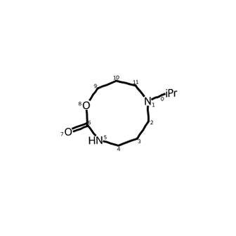 CC(C)N1CCCNC(=O)OCCC1